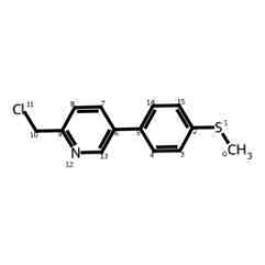 CSc1ccc(-c2ccc(CCl)nc2)cc1